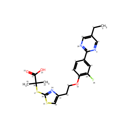 CCc1cnc(-c2ccc(OCCc3csc(SC(C)(C)C(=O)O)n3)c(F)c2)nc1